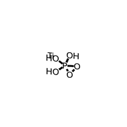 OP1(O)(O)OO1.[Ti]